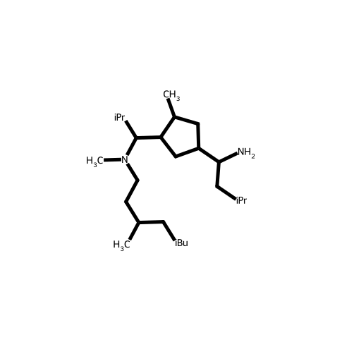 CCC(C)CC(C)CCN(C)C(C(C)C)C1CC(C(N)CC(C)C)CC1C